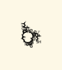 CCCC(C)(CC(C)C)Oc1cc2cc(c1Cl)N(C)C(=O)C[C@H](OC(=O)[C@H](C)N(C)C(=O)CCS)[C@@]1(C)CC(C)(O1)[C@@H]1C[C@](O)(C/C=C/C=C(\C)C2)NC(=O)O1